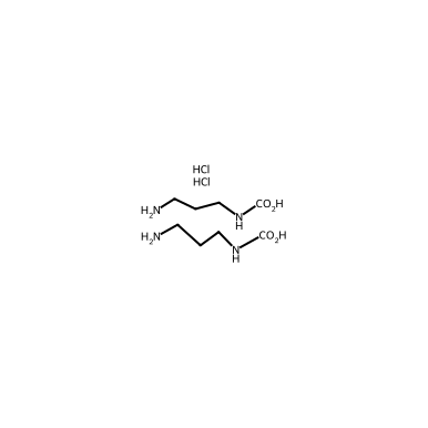 Cl.Cl.NCCCNC(=O)O.NCCCNC(=O)O